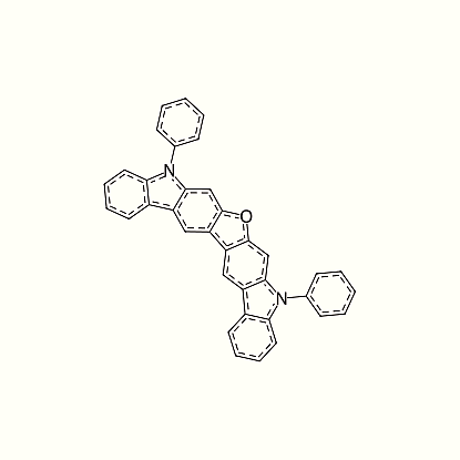 c1ccc(-n2c3ccccc3c3cc4c(cc32)oc2cc3c(cc24)c2ccccc2n3-c2ccccc2)cc1